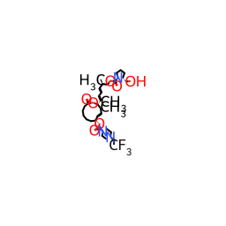 C/C(=C\C=C\[C@@H](C)COC(=O)N1CCC[C@@H]1CO)[C@H]1OC(=O)CCCCC[C@@H](OC(=O)N2CCN(CC(F)(F)F)CC2)/C=C/[C@@H]1C